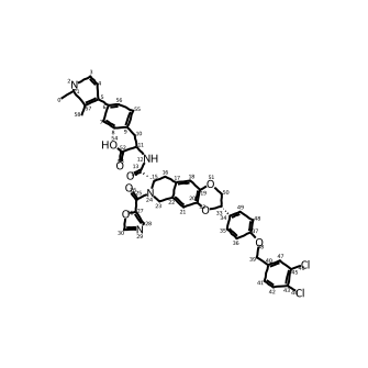 Cc1nccc(-c2ccc(CC(NC(=O)[C@@H]3Cc4cc5c(cc4CN3C(=O)c3cnco3)O[C@@H](c3ccc(OCc4ccc(Cl)c(Cl)c4)cc3)CO5)C(=O)O)cc2)c1C